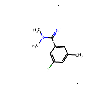 Cc1cc(F)cc(C(=N)N(C)C)c1